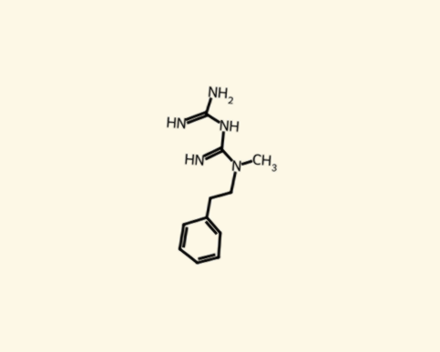 CN(CCc1ccccc1)C(=N)NC(=N)N